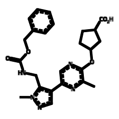 Cc1nc(-c2cnn(C)c2CNC(=O)OCc2ccccc2)cnc1OC1CCC(C(=O)O)C1